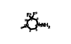 CN1CCN(N)CC(F)(F)C1